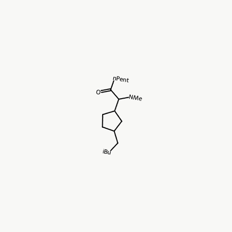 CCCCCC(=O)C(NC)C1CCC(CC(C)CC)C1